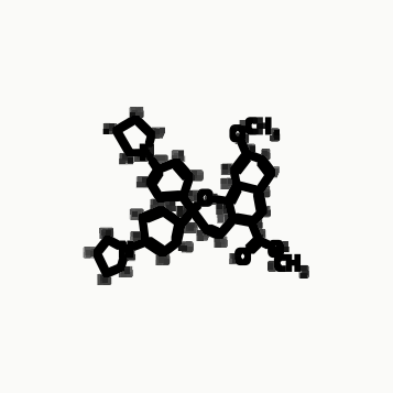 COC(=O)c1cc2ccc(OC)cc2c2c1C=CC(c1ccc(N3CCCC3)cc1)(c1ccc(N3CCCC3)cc1)O2